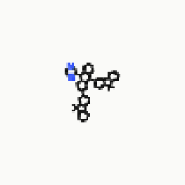 CC1(C)c2ccccc2-c2cc(-c3c4ccccc4c(-c4cnccn4)c4ccc(-c5ccc6c(c5)C(C)(C)c5ccccc5-6)cc34)ccc21